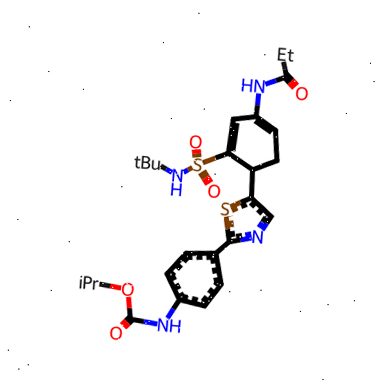 CCC(=O)NC1=CCC(c2cnc(-c3ccc(NC(=O)OC(C)C)cc3)s2)C(S(=O)(=O)NC(C)(C)C)=C1